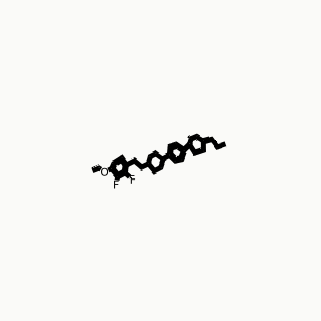 CCCC1CCC(c2ccc(C3CCC(CCc4ccc(OCC)c(F)c4F)CC3)cc2)CC1